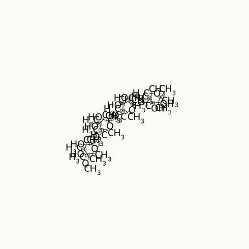 CC[C@]1(C)OC(C)(C)[C@@](C)(COC[C@]2(C)OC(C)(C)[C@@](C)(COC[C@]3(C)OC(C)(C)[C@@](C)(COC[C@]4(C)OC(C)(C)[C@@](C)(COC)[C@@](C)(O)C4(C)O)[C@@](C)(O)C3(C)O)[C@@](C)(O)C2(C)O)[C@@](C)(O)C1(C)O